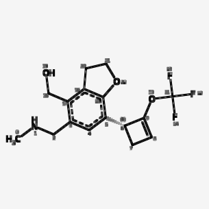 CNCc1cc([C@H]2CC=C2OC(F)(F)F)c2c(c1CO)CCO2